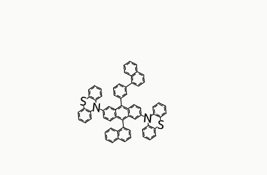 c1cc(-c2cccc3ccccc23)cc(-c2c3cc(N4c5ccccc5Sc5ccccc54)ccc3c(-c3cccc4ccccc34)c3cc(N4c5ccccc5Sc5ccccc54)ccc23)c1